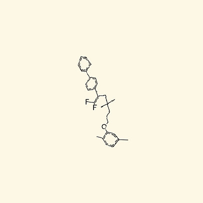 Cc1ccc(C)c(OCCCC(C)(C)CC(=C(F)F)c2ccc(-c3ccccc3)cc2)c1